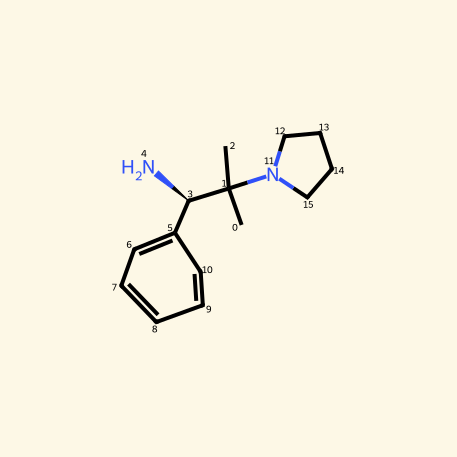 CC(C)([C@H](N)c1ccccc1)N1CCCC1